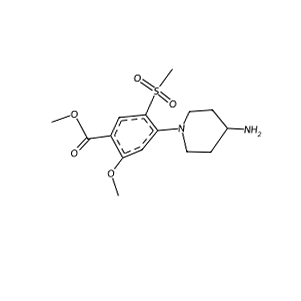 COC(=O)c1cc(S(C)(=O)=O)c(N2CCC(N)CC2)cc1OC